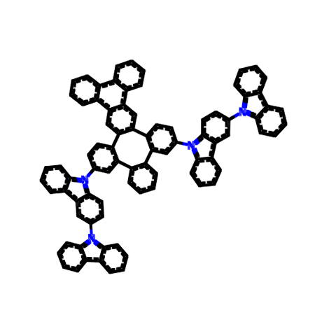 c1ccc2c(c1)-c1cc(-n3c4ccccc4c4cc(-n5c6ccccc6c6ccccc65)ccc43)ccc1-c1cc3c4ccccc4c4ccccc4c3cc1-c1ccc(-n3c4ccccc4c4cc(-n5c6ccccc6c6ccccc65)ccc43)cc1-2